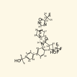 CC(C)(O)c1ccc(-c2cccc(N(C[C@]34CC[C@](c5noc(C(C)(C)F)n5)(CC3)CC4)C(=O)C3CC(O)(C(F)(F)F)C3)c2)cc1